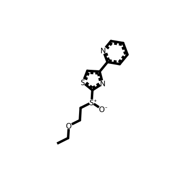 CCOCC[S+]([O-])c1nc(-c2ccccn2)cs1